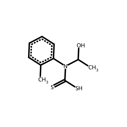 Cc1ccccc1N(C(=S)S)C(C)O